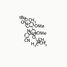 COC(=O)C=C(c1c(OC)cc(C)c2c1ccn2C(=O)OC(C)(C)C)c1nc2ccc(C#N)cc2n1COCC[Si](C)(C)C